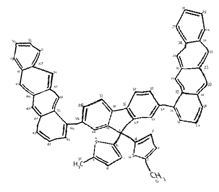 Cc1ccc(C2(c3ccc(C)s3)c3cc(-c4cccc5cc6cc7ccccc7cc6cc45)ccc3-c3ccc(-c4cccc5cc6cc7ccccc7cc6cc45)cc32)s1